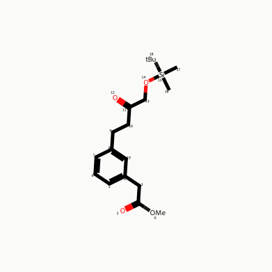 COC(=O)Cc1cccc(CCC(=O)CO[Si](C)(C)C(C)(C)C)c1